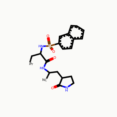 CC(C)CC(NS(=O)(=O)c1ccc2ccccc2c1)C(=O)NC(C#N)CC1CCNC1=O